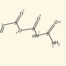 C=CC(=O)OC(=O)NC(N)=O